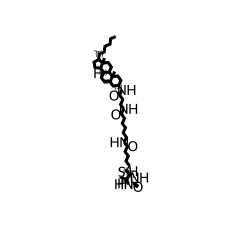 CCCCC[C@@H](C)C1CCC2[C@H]3CC=C4C[C@@H](NC(=O)CCNC(=O)CCCCCNC(=O)CCCC[C@@H]5SC[C@@H]6NC(=O)N[C@@H]65)CCC4(C)C3CCC21C